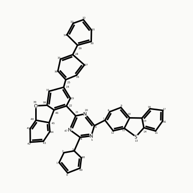 C1=CCC(c2nc(-c3ccc4c(c3)sc3ccccc34)nc(-c3cc(-c4ccc(-c5ccccc5)cc4)cc4oc5ccccc5c34)n2)C=C1